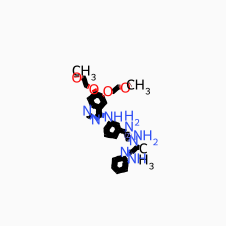 COCCOc1cc2ncnc(Nc3cccc(/C(N)=C/N(N)C(C)c4nc5ccccc5[nH]4)c3)c2cc1OCCOC